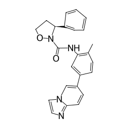 Cc1ccc(-c2ccc3nccn3c2)cc1NC(=O)N1OCC[C@H]1c1ccccc1